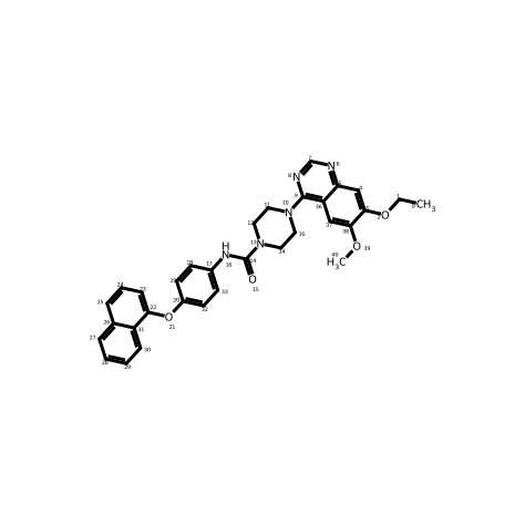 CCOc1cc2ncnc(N3CCN(C(=O)Nc4ccc(Oc5cccc6ccccc56)cc4)CC3)c2cc1OC